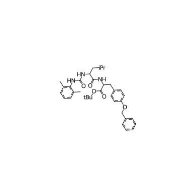 Cc1cccc(C)c1NC(=O)NC(CC(C)C)C(=O)NC(Cc1ccc(OCc2ccccc2)cc1)C(=O)OC(C)(C)C